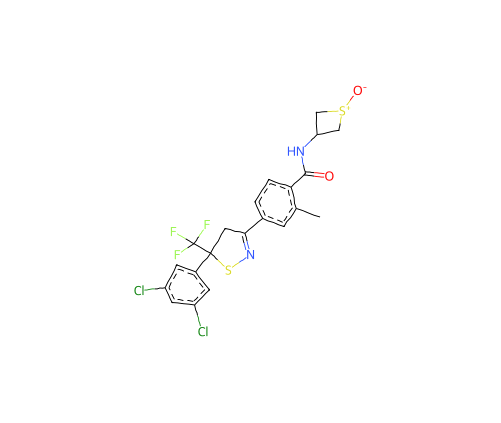 Cc1cc(C2=NSC(c3cc(Cl)cc(Cl)c3)(C(F)(F)F)C2)ccc1C(=O)NC1C[S+]([O-])C1